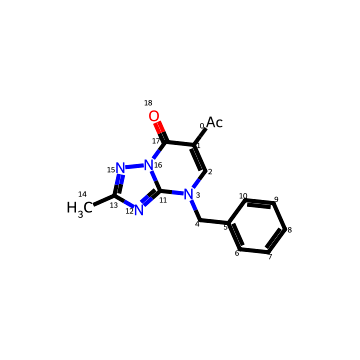 CC(=O)c1cn(Cc2ccccc2)c2nc(C)nn2c1=O